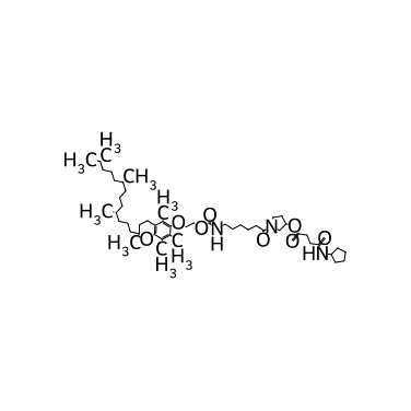 Cc1c(C)c2c(c(C)c1OCCOC(=O)NCCCCCC(=O)N1CC[C@@H](OC(=O)CCC(=O)NC3CCCC3)C1)CC[C@@](C)(CCC[C@H](C)CCC[C@H](C)CCCC(C)C)O2